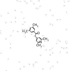 Cc1cc(C)cc(C(=O)Cc2cc(C)nc(C)c2)c1